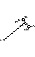 CCCCCCCCCCCCCCCCCCCCCCCCCCC/C=C/C(=N\c1cc(CCCC)cc(CCCC)c1)C(/CCCCC)=N/c1cc(CCCC)cc(CCCC)c1.[Pd]